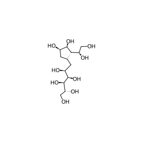 OC[C@@H](O)[C@@H](O)[C@H](O)[C@@H](O)CC1C[C@@H](O)[C@@H](O)[C@@H]1[C@H](O)CO